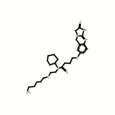 CCCCCCOCCN(C(=O)CCCOc1ccc2c(c1)CN1CC(=O)NC1=N2)C1CCCCC1